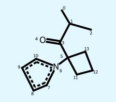 CC(C)C(=O)C1(n2cccc2)CCC1